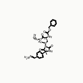 CC(=O)N(C[C@H](NC(=O)OCc1ccccc1)C(=O)OC(C)(C)C)N1C(=O)N[C@](C)(c2ccc(C=NN)cc2)C1=O.Cl